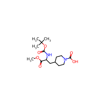 COC(=O)C(CC1CCN(C(=O)O)CC1)NC(=O)OC(C)(C)C